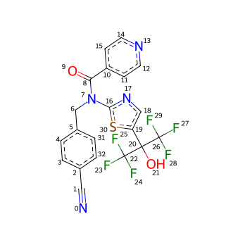 N#Cc1ccc(CN(C(=O)c2ccncc2)c2ncc(C(O)(C(F)(F)F)C(F)(F)F)s2)cc1